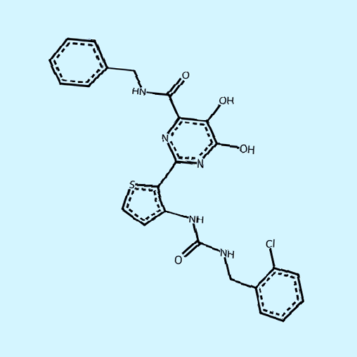 O=C(NCc1ccccc1Cl)Nc1ccsc1-c1nc(O)c(O)c(C(=O)NCc2ccccc2)n1